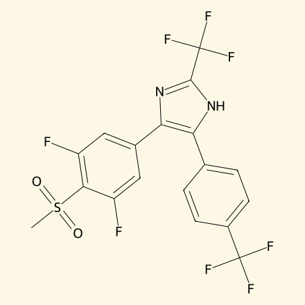 CS(=O)(=O)c1c(F)cc(-c2nc(C(F)(F)F)[nH]c2-c2ccc(C(F)(F)F)cc2)cc1F